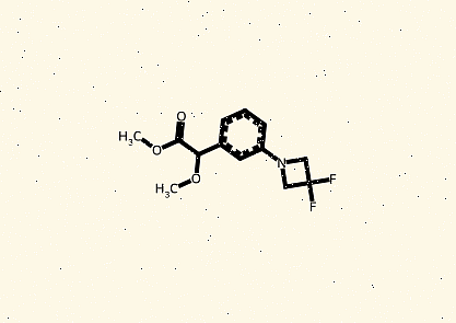 COC(=O)C(OC)c1cccc(N2CC(F)(F)C2)c1